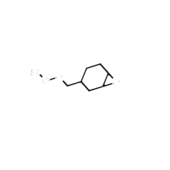 CCOOCC1CCC2OC2C1